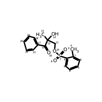 Cc1ccccc1S(=O)(=O)OCC(C)(O)C(=O)c1ccccc1